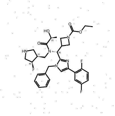 CCOC(=O)N1CC([C@H](c2nc(-c3cc(F)ccc3F)cn2Cc2ccccc2)N(C[C@@H]2CNC[C@@H]2F)C(=O)[C@H](C)O)C1